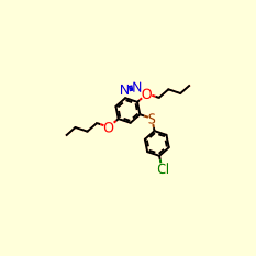 CCCCOc1ccc(OCCCC)c(Sc2ccc(Cl)cc2)c1.N#N